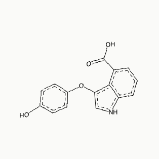 O=C(O)c1cccc2[nH]cc(Oc3ccc(O)cc3)c12